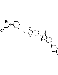 CCN(CCCl)c1cccc(CCCc2nc3cc(-c4nc5cc(N6CCN(C)CC6)ccc5[nH]4)ccc3[nH]2)c1